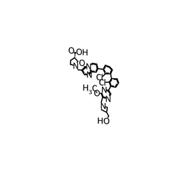 COc1nc(-c2cccc(-c3cccc(-c4ccn5c(=O)c(CN6CC[C@@H](C(=O)O)C6)cnc5c4)c3Cl)c2Cl)cnc1CN1CC(CO)C1